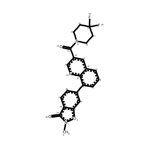 Cn1oc2cc(-c3cccc4cc(C(=O)N5CCC(F)(F)CC5)cnc34)ccc2c1=O